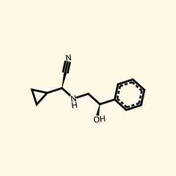 N#C[C@@H](NC[C@H](O)c1ccccc1)C1CC1